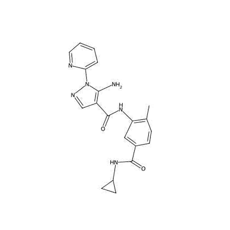 Cc1ccc(C(=O)NC2CC2)cc1NC(=O)c1cnn(-c2ccccn2)c1N